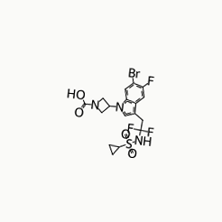 O=C(O)N1CC(n2cc(CC(F)(F)NS(=O)(=O)C3CC3)c3cc(F)c(Br)cc32)C1